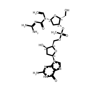 C=CN(C(=O)N=C(N)N)[C@H]1C[C@@H](OP(C)(=O)OC[C@H]2O[C@@H](n3cnc4c(=O)[nH]c(N)nc43)C[C@H]2O)[C@@H](CO)O1